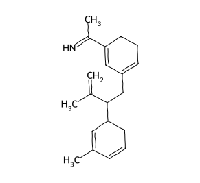 C=C(C)C(CC1=CCCC(C(C)=N)=C1)C1C=C(C)C=CC1